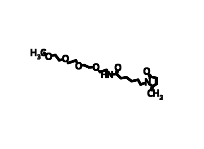 C=C1C=CC(=O)N1CCCCCC(=O)NCCOCCOCCOCCOC